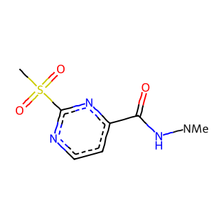 CNNC(=O)c1ccnc(S(C)(=O)=O)n1